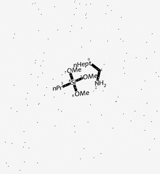 CCCCCCCCN.CCC[Si](OC)(OC)OC